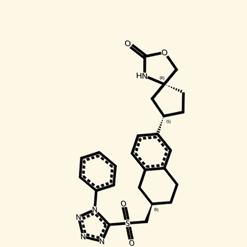 O=C1N[C@@]2(CC[C@H](c3ccc4c(c3)CC[C@@H](CS(=O)(=O)c3nnnn3-c3ccccc3)C4)C2)CO1